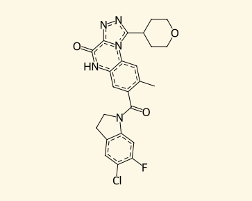 Cc1cc2c(cc1C(=O)N1CCc3cc(Cl)c(F)cc31)[nH]c(=O)c1nnc(C3CCOCC3)n12